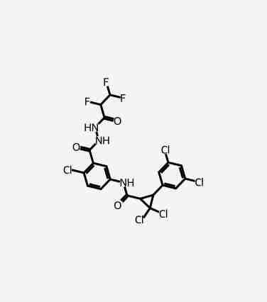 O=C(NNC(=O)C(F)C(F)F)c1cc(NC(=O)C2C(c3cc(Cl)cc(Cl)c3)C2(Cl)Cl)ccc1Cl